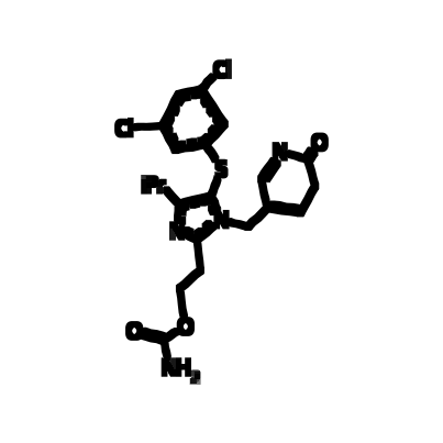 CC(C)c1nc(CCOC(N)=O)n(CC2=CCC(=O)N=C2)c1Sc1cc(Cl)cc(Cl)c1